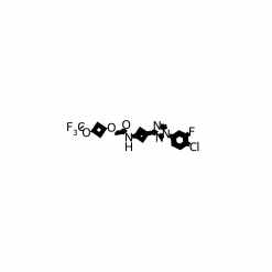 O=C(CO[C@H]1C[C@@H](OC(F)(F)F)C1)NC12CC(c3ncn(-c4ccc(Cl)c(F)c4)n3)(C1)C2